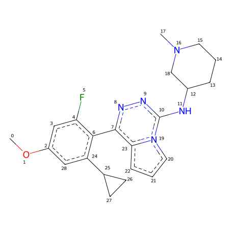 COc1cc(F)c(-c2nnc(NC3CCCN(C)C3)n3cccc23)c(C2CC2)c1